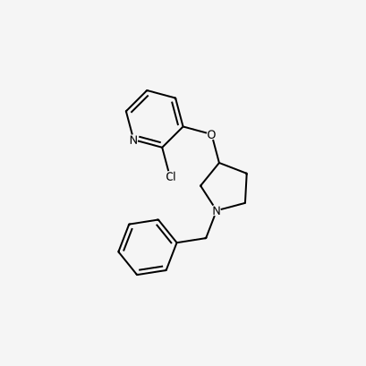 Clc1ncccc1OC1CCN(Cc2ccccc2)C1